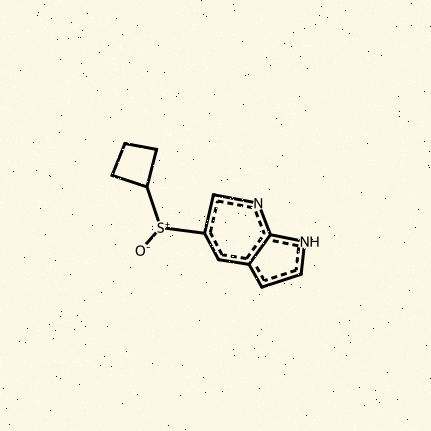 [O-][S+](c1cnc2[nH]ccc2c1)C1CCC1